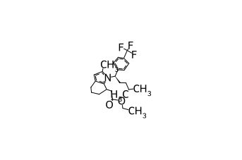 CCOC(=O)CC1CCCc2cc(C)n([C@H](CCC(C)C)c3ccc(C(F)(F)F)cc3)c21